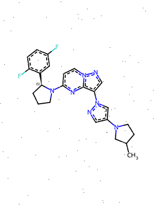 CC1CCN(c2cnn(-c3cnn4ccc(N5CCC[C@H]5c5cc(F)ccc5F)nc34)c2)C1